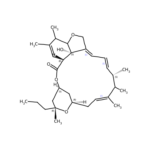 CCC[C@]1(C)C[C@@H]2C[C@@H](C/C=C(\C)C(C)[C@@H](C)/C=C/C=C3\COC4C(C)C(C)=C[C@@H](C(=O)O2)[C@]34O)O1